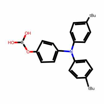 CC(C)(C)c1ccc(N(c2ccc(OB(O)O)cc2)c2ccc(C(C)(C)C)cc2)cc1